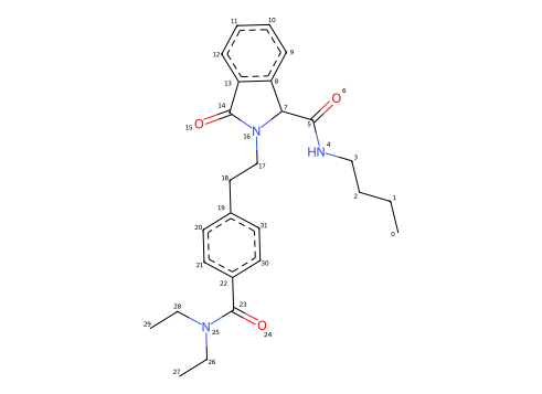 CCCCNC(=O)C1c2ccccc2C(=O)N1CCc1ccc(C(=O)N(CC)CC)cc1